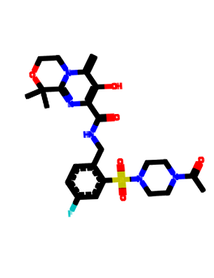 C=C1C(O)=C(C(=O)NCc2ccc(F)cc2S(=O)(=O)N2CCN(C(C)=O)CC2)N=C2N1CCOC2(C)C